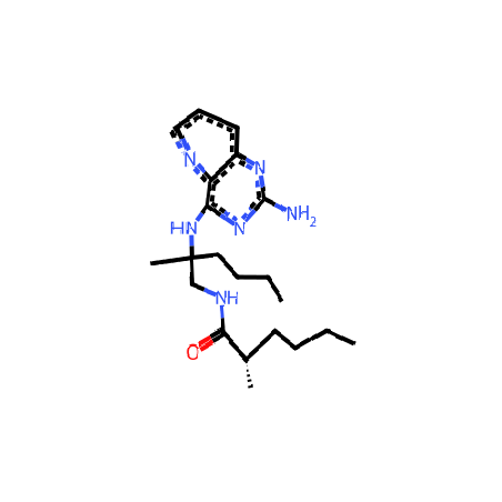 CCCC[C@H](C)C(=O)NCC(C)(CCCC)Nc1nc(N)nc2cccnc12